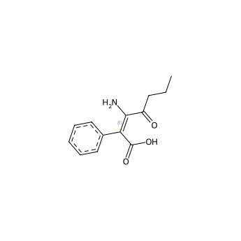 CCCC(=O)/C(N)=C(\C(=O)O)c1ccccc1